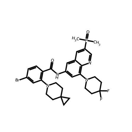 CP(C)(=O)c1cnc2c(N3CCC(F)(F)CC3)cc(NC(=O)c3ccc(Br)cc3N3CCC4(CC3)CC4)cc2c1